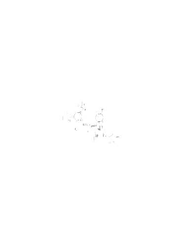 O=C1C=C(N2C[C@H]3CC[C@H](O[C@H](CO)c4cc(C(F)(F)F)cc(C(F)(F)F)c4)[C@@H](c4ccc(F)cc4)[C@@H]3C2)CC1